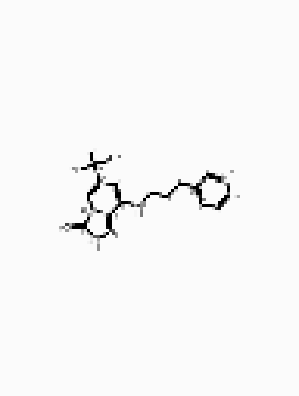 O=c1[nH]nc2c(NCCCc3cccnc3)cc(C(F)(F)F)cn12